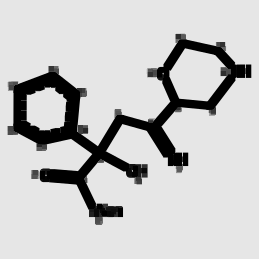 CCCCCCCCCC(=O)C(O)(CC(=N)C1CNCCO1)c1ccccc1